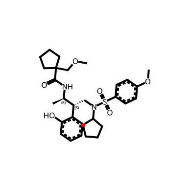 COCC1(C(=O)N[C@H](C)[C@H](CN(C2CCCC2)S(=O)(=O)c2ccc(OC)cc2)c2ccccc2O)CCCC1